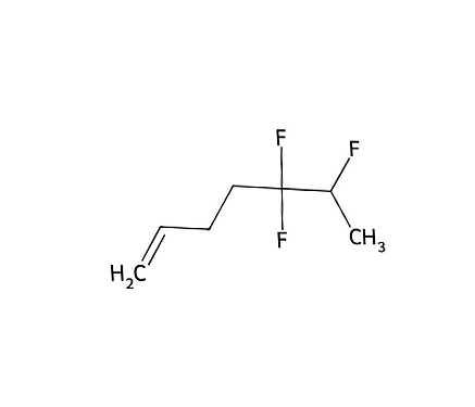 C=CCCC(F)(F)C(C)F